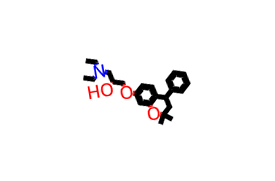 CCN(CC)CC(O)COc1ccc2c(c1)OC(C)(C)CC2c1ccccc1